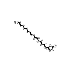 CCC=CCC=CCC=CCC=CCC=CC=CC1=CCC(=O)O1